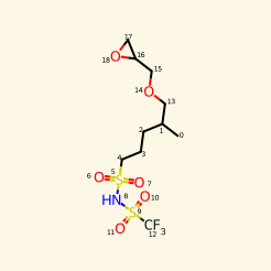 CC(CCCS(=O)(=O)NS(=O)(=O)C(F)(F)F)COCC1CO1